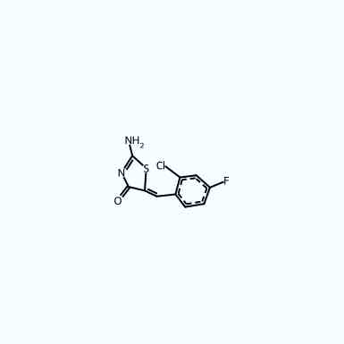 NC1=NC(=O)C(=Cc2ccc(F)cc2Cl)S1